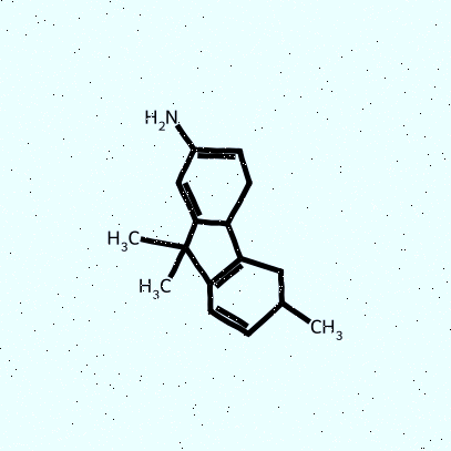 CC1C=CC2=C(C1)C1CC=C(N)C=C1C2(C)C